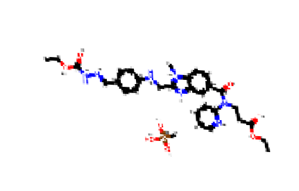 CCOC(=O)CCN(C(=O)c1ccc2c(c1)nc(CNc1ccc(C=NNC(=O)OCC)cc1)n2C)c1ccccn1.CS(=O)(=O)O